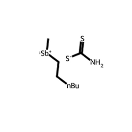 CCCCC[CH2][Sb+][CH3].NC(=S)[S-]